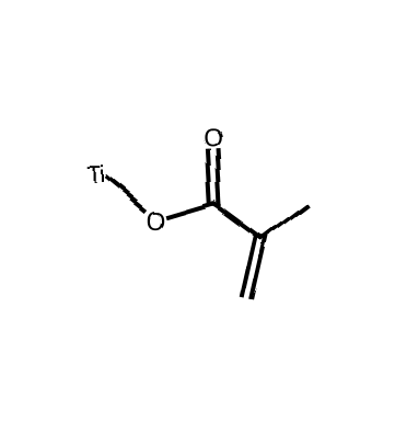 C=C(C)C(=O)[O][Ti]